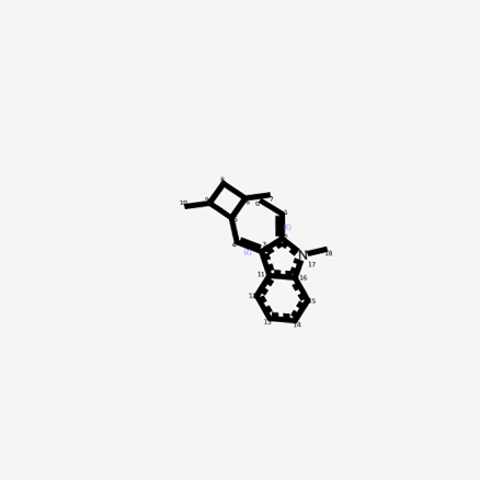 C/C=c1\c(=C/C2C(C)CC2C)c2ccccc2n1C